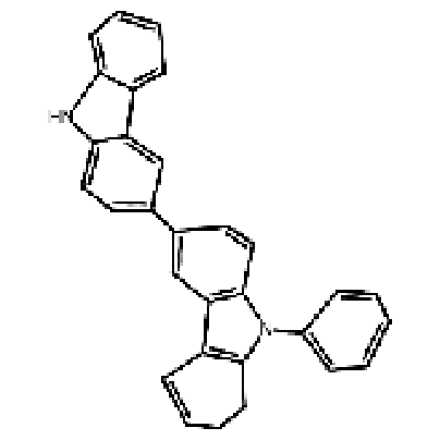 C1=Cc2c(n(-c3ccccc3)c3ccc(-c4ccc5[nH]c6ccccc6c5c4)cc23)CC1